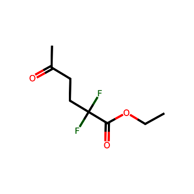 CCOC(=O)C(F)(F)CCC(C)=O